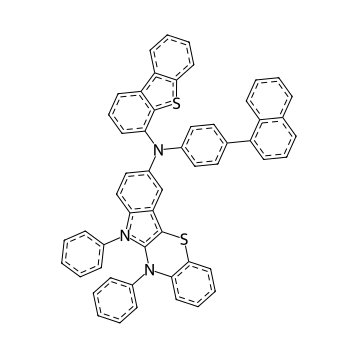 c1ccc(N2c3ccccc3Sc3c2n(-c2ccccc2)c2ccc(N(c4ccc(-c5cccc6ccccc56)cc4)c4cccc5c4sc4ccccc45)cc32)cc1